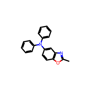 Cc1nc2cc(N(c3ccccc3)c3ccccc3)ccc2o1